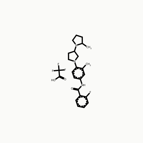 Cc1cc(NC(=O)c2ccccc2F)ccc1N1CCC(N2CCCC2C)C1.O=C(O)C(F)(F)F